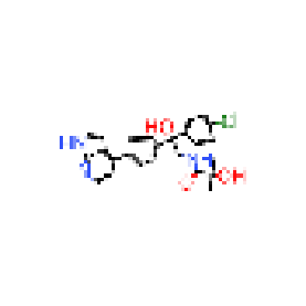 CC(C)(O)C(=O)NCC(O)(c1ccc(Cl)cc1)c1ccc(-c2ccnc3[nH]ccc23)cc1